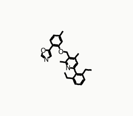 CCc1cccc(CC)c1-c1cc(C)c(COc2cc(C)ccc2-c2cnco2)c(C)n1